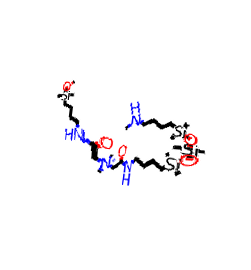 CNCCCC[Si](C)(C)O[Si](C)(C)O[Si](C)(C)CCCCNC(=O)C[N+](C)(C)CC(=O)NCCCC[Si](C)(C)OC